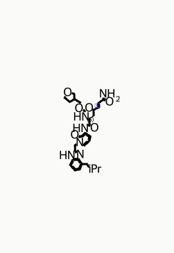 CC(C)Cc1cccc2[nH]c(Cn3cccc(NC(=O)[C@H](CC/C=C/C(N)=O)NC(=O)OCC4CCOC4)c3=O)nc12